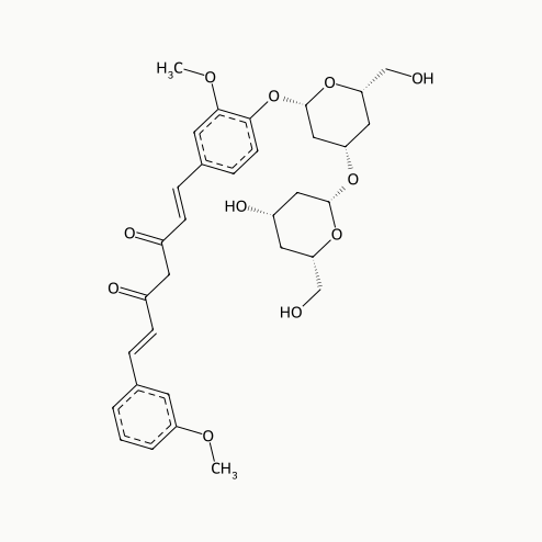 COc1cccc(/C=C/C(=O)CC(=O)/C=C/c2ccc(O[C@H]3C[C@@H](O[C@H]4C[C@@H](O)C[C@@H](CO)O4)C[C@@H](CO)O3)c(OC)c2)c1